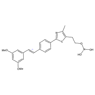 COc1cc(/C=C/c2ccc(-c3nc(C)c(CCON(O)O)s3)cc2)cc(OC)c1